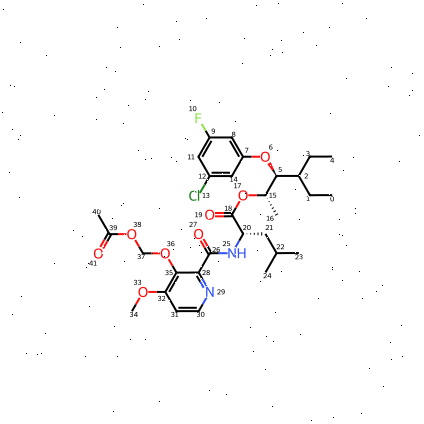 CCC(CC)[C@H](Oc1cc(F)cc(Cl)c1)[C@H](C)OC(=O)[C@H](CC(C)C)NC(=O)c1nccc(OC)c1OCOC(C)=O